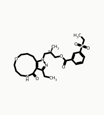 CCc1nn(C[C@@H](C)COC(=O)c2cccc(S(=O)(=O)CC)c2)c2c1C(=O)NCCCOCCC2